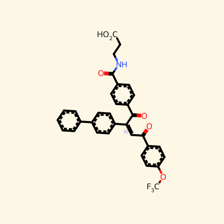 O=C(O)CCNC(=O)c1ccc(C(=O)/C(=C\C(=O)c2ccc(OC(F)(F)F)cc2)c2ccc(-c3ccccc3)cc2)cc1